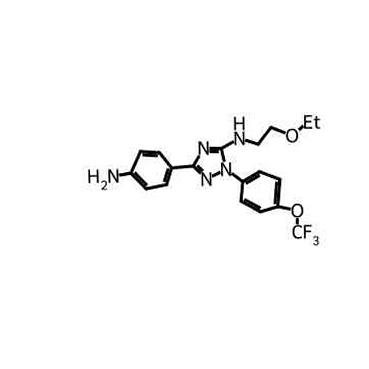 CCOCCNc1nc(-c2ccc(N)cc2)nn1-c1ccc(OC(F)(F)F)cc1